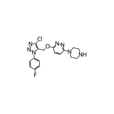 Fc1ccc(-n2nnc(Cl)c2COc2ccc(N3CCNCC3)nn2)cc1